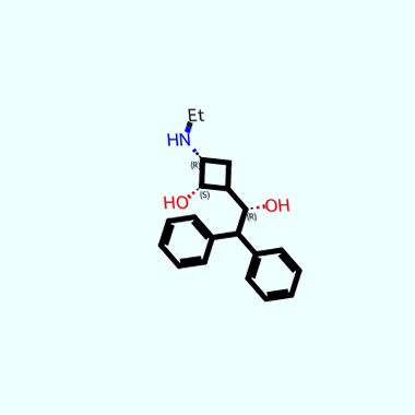 CCN[C@@H]1CC([C@H](O)C(c2ccccc2)c2ccccc2)[C@@H]1O